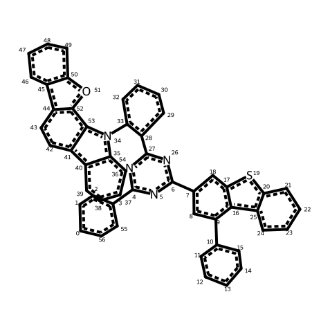 c1ccc(-c2nc(-c3cc(-c4ccccc4)c4c(c3)sc3ccccc34)nc(-c3ccccc3-n3c4ccccc4c4ccc5c6ccccc6oc5c43)n2)cc1